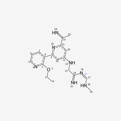 CCOc1ncccc1-c1cc(NCC(=N)/N=C\NC)cc(C(C)=N)n1